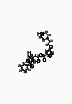 N[C@H](CC(=O)OC(=O)c1cc(OCCC2CCNCC2)no1)NS(=O)(=O)c1ccccc1